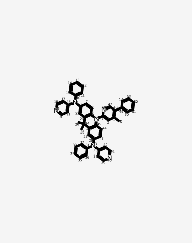 Cc1cc(N2c3ccc(N(c4ccccc4)c4ccncc4)cc3C(C)(C)c3cc(N(c4ccccc4)c4ccncc4)ccc32)ncc1-c1ccccc1